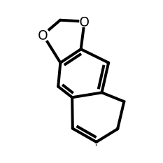 [C]1=Cc2cc3c(cc2CC1)OCO3